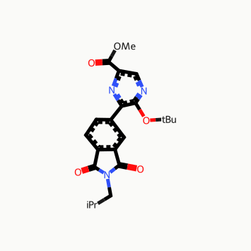 COC(=O)c1cnc(OC(C)(C)C)c(-c2ccc3c(c2)C(=O)N(CC(C)C)C3=O)n1